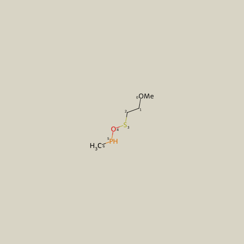 COCCSOPC